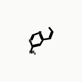 C/C=C\c1cc(N)ncn1